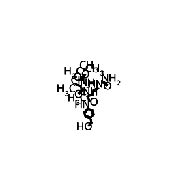 CC(C)[C@H](NC(=O)OC(C)(C)C)C(=O)N[C@](C)(CCCNC(N)=O)C(=O)Nc1ccc(CO)cc1